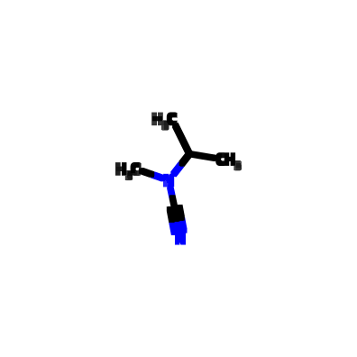 CC(C)N(C)C#N